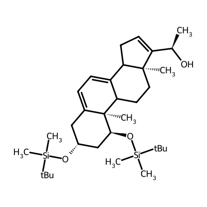 C[C@@H](O)C1=CCC2C3=CC=C4C[C@@H](O[Si](C)(C)C(C)(C)C)C[C@H](O[Si](C)(C)C(C)(C)C)[C@]4(C)C3CC[C@]12C